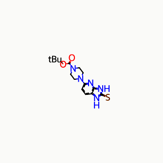 CC(C)(C)OC(=O)N1CCN(c2ccc3[nH]c(=S)[nH]c3n2)CC1